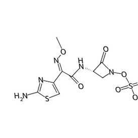 CON=C(C(=O)N[C@H]1CN(OS(=O)(=O)O)C1=O)c1csc(N)n1